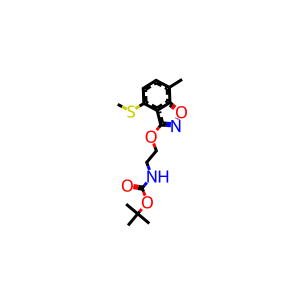 CSc1ccc(C)c2onc(OCCNC(=O)OC(C)(C)C)c12